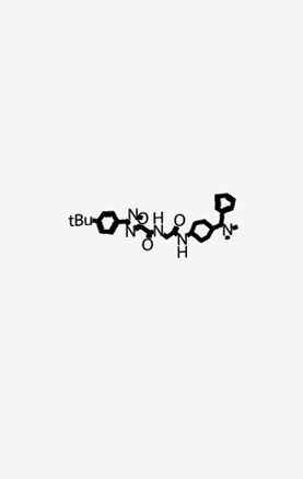 CN(C)C(c1ccccc1)C1CCC(NC(=O)CNC(=O)c2nc(-c3ccc(C(C)(C)C)cc3)no2)CC1